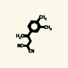 C=C(CC(C#N)C#N)c1ccc(C)c(C)c1